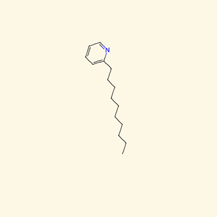 CCCCCCCCCCc1ccccn1